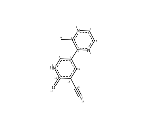 Cc1nccnc1-c1c[nH]c(=O)c(C#N)c1